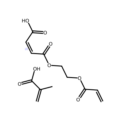 C=C(C)C(=O)O.C=CC(=O)OCCOC(=O)/C=C\C(=O)O